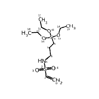 C=CS(=O)(=O)NCCC[Si](OCC)(OCC)OCC